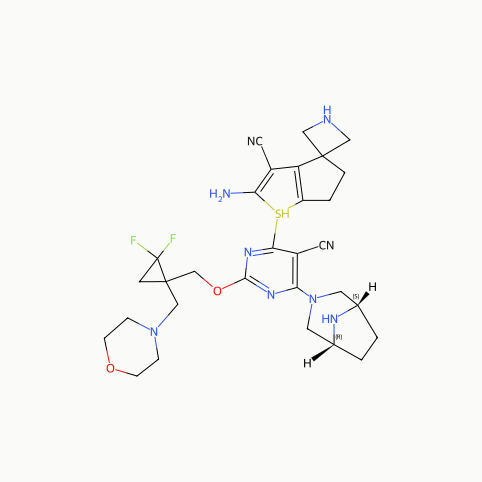 N#CC1=C(N)[SH](c2nc(OCC3(CN4CCOCC4)CC3(F)F)nc(N3C[C@H]4CC[C@@H](C3)N4)c2C#N)C2=C1C1(CC2)CNC1